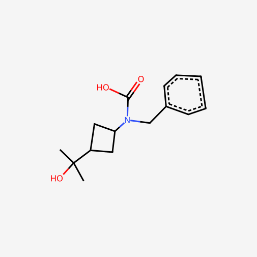 CC(C)(O)C1CC(N(Cc2ccccc2)C(=O)O)C1